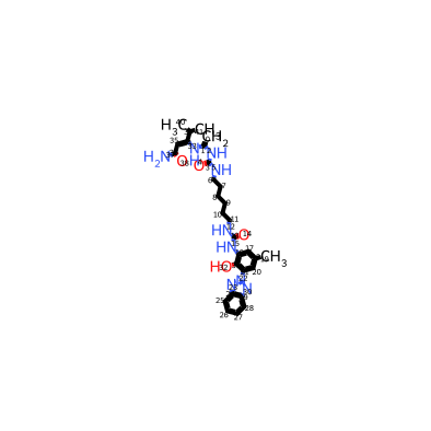 C=C(NC(=O)NCCCCCCNC(=O)Nc1cc(C)cc(-n2nc3ccccc3n2)c1O)N/C(=C\C(N)=O)C(C)C